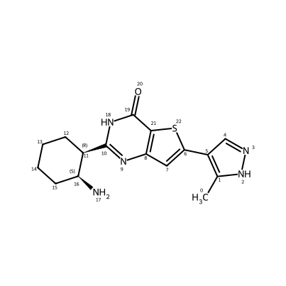 Cc1[nH]ncc1-c1cc2nc([C@@H]3CCCC[C@@H]3N)[nH]c(=O)c2s1